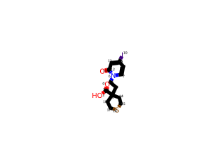 O=C(O)C1(CCn2ccc(I)cc2=O)CCSCC1